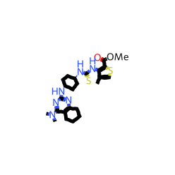 COC(=O)c1scc(C)c1NC(=S)N[C@H]1CC[C@@H](Nc2nc3c(c(N(C)C)n2)CCCC3)CC1